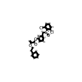 C=C(OCCc1ccccc1)C(=O)Oc1cccc(C[S+]([O-])c2c(Cl)cccc2Cl)n1